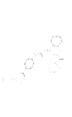 CC(C)OC(=O)c1ccc(NC(=O)CN2CC(C(=O)N3CCCCC3)Oc3ccccc32)cc1